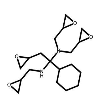 C1CCC(C(CC2CO2)(NCC2CO2)N(CC2CO2)CC2CO2)CC1